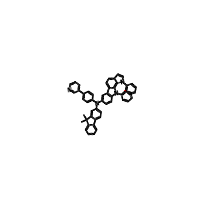 CC1(C)c2ccccc2-c2ccc(N(c3ccc(-c4cccnc4)cc3)c3ccc4c(c3)c3ccc5ccn(-c6ccccc6)c5c3n4-c3ccccc3)cc21